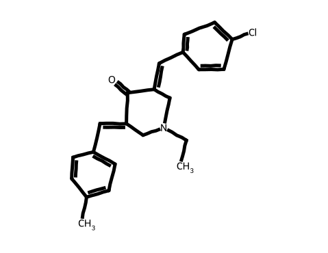 CCN1C/C(=C\c2ccc(C)cc2)C(=O)/C(=C/c2ccc(Cl)cc2)C1